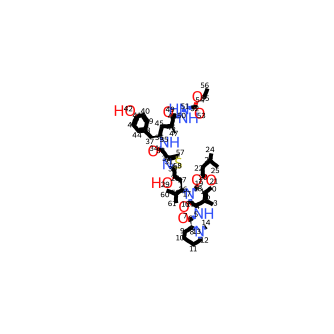 C/C=C(\C)[C@H](NC(=O)[C@H]1CCCCN1C)C(=O)N(COC(=O)CC(C)C)[C@H](C[C@@H](O)c1nc(C(=O)N[C@@H](Cc2ccc(O)cc2)C[C@H](C)C(=O)NNC(=O)OCC)cs1)C(C)C